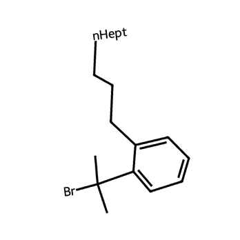 CCCCCCCCCCc1ccccc1C(C)(C)Br